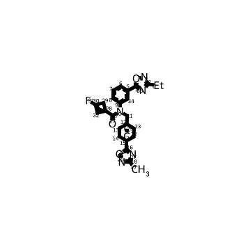 CCc1noc(-c2cccc(N(CC34CCC(c5nc(C)no5)(CC3)CC4)C(=O)C34CC(F)(C3)C4)c2)n1